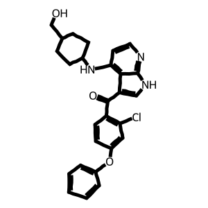 O=C(c1ccc(Oc2ccccc2)cc1Cl)c1c[nH]c2nccc(NC3CCC(CO)CC3)c12